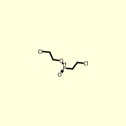 O=[PH](CCCl)OCCCl